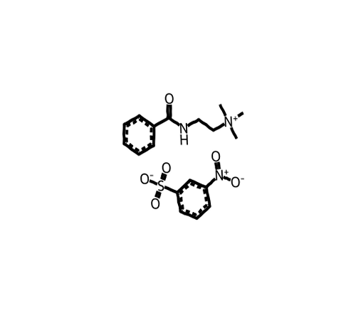 C[N+](C)(C)CCNC(=O)c1ccccc1.O=[N+]([O-])c1cccc(S(=O)(=O)[O-])c1